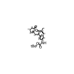 Cc1cn2cc(NC(=O)OC(C)(C)C)nc2c(CN2CCCS2(=O)=O)n1